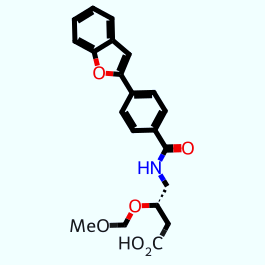 COCO[C@H](CNC(=O)c1ccc(-c2cc3ccccc3o2)cc1)CC(=O)O